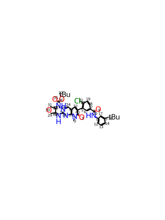 Cn1c(=O)c(-c2cc(C(=O)Nc3cccc(C(C)(C)C)c3)ccc2Cl)cc2cnc(N[C@@H]3COC[C@@H]3NC(=O)OC(C)(C)C)nc21